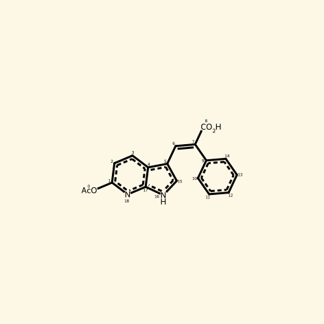 CC(=O)Oc1ccc2c(/C=C(/C(=O)O)c3ccccc3)c[nH]c2n1